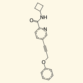 O=C(NC1CCC1)c1ccc(C#CCOc2ccccc2)cn1